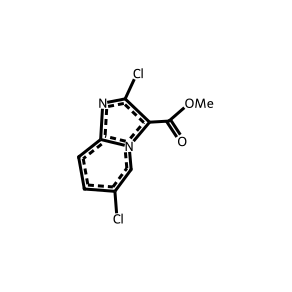 COC(=O)c1c(Cl)nc2ccc(Cl)cn12